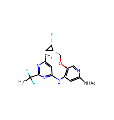 CC(=O)Nc1cc(Nc2cc(C)nc(C(C)(F)F)n2)c(OC[C@@H]2C[C@@H]2F)cn1